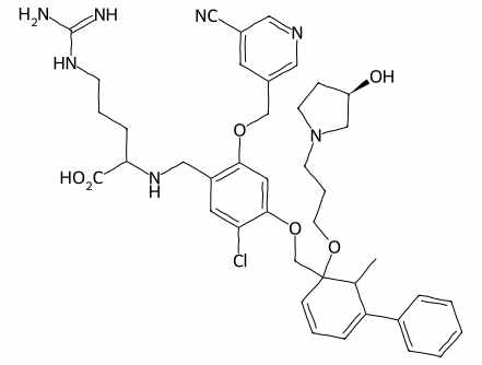 CC1C(c2ccccc2)=CC=CC1(COc1cc(OCc2cncc(C#N)c2)c(CNC(CCCNC(=N)N)C(=O)O)cc1Cl)OCCCN1CC[C@@H](O)C1